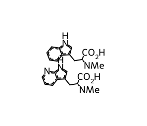 CN[C@@H](Cc1c[nH]c2ccccc12)C(=O)O.CN[C@@H](Cc1c[nH]c2ncccc12)C(=O)O